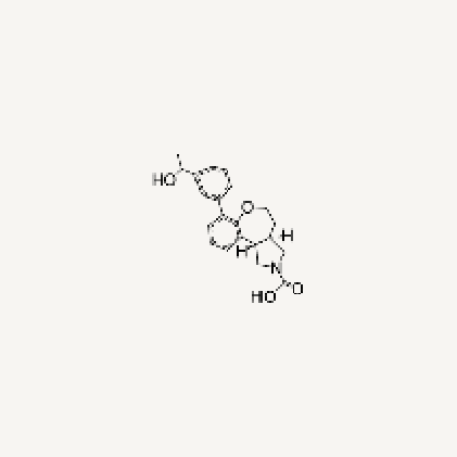 CC(O)c1cccc(-c2cccc3c2OCC[C@H]2CN(C(=O)O)C[C@H]32)c1